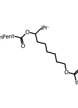 CCCCCC(=O)OC(CCCCCCOC(=O)C(C)(C)C)[C](C)C